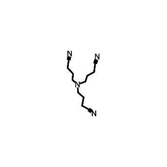 N#CCCCN(CCCC#N)CCCC#N